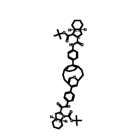 CC(C)(C)OC(=O)N1[C@H](C(=O)Nc2ccc(C3=CC4CCC5=C(c6ccc(NC(=O)[C@@H]7C[C@@H]8CCCC[C@@H]8N7C(=O)OC(C)(C)C)cc6)C=C(CCC3=CO4)CC5)cc2)C[C@@H]2CCCC[C@@H]21